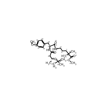 COC(=O)C(C)(C)CCCNC(=O)[C@H](Cc1ccc(OC)cc1)NC(=O)C[C@@H](C)OC(C)(C)C